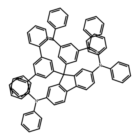 O=C(c1ccccc1)c1cc(C(=O)c2ccccc2)cc(C2(c3cc(-c4ccccc4)cc(-c4ccccc4)c3)c3cc(N(c4ccccc4)c4ccccc4)ccc3-c3ccc(N(c4ccccc4)c4ccccc4)cc32)c1